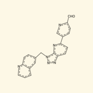 O=Cc1ccc(-c2ccc3nnn(Cc4ccc5ncccc5c4)c3n2)cn1